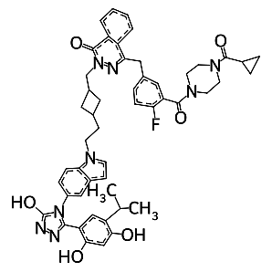 CC(C)c1cc(-c2nnc(O)n2-c2ccc3c(ccn3CCC3CC(Cn4nc(Cc5ccc(F)c(C(=O)N6CCN(C(=O)C7CC7)CC6)c5)c5ccccc5c4=O)C3)c2)c(O)cc1O